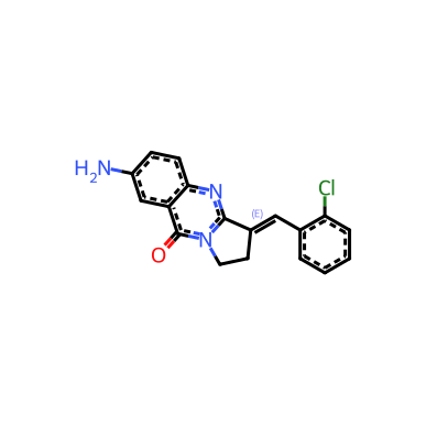 Nc1ccc2nc3n(c(=O)c2c1)CC/C3=C\c1ccccc1Cl